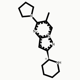 Cc1cn2nc([C@@H]3CCCCN3)cc2nc1N1CCCC1